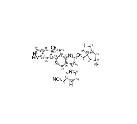 N#CC[C@H]1CN(c2nc(OC[C@@]34CCCN3C[C@H](F)C4)nc3c(F)c(-c4cc5[nH]ncc5cc4C(F)(F)F)ncc23)CCN1